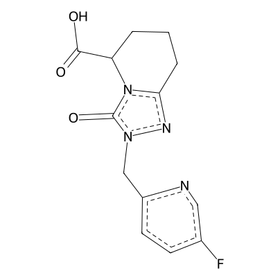 O=C(O)C1CCCc2nn(Cc3ccc(F)cn3)c(=O)n21